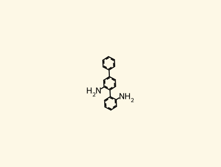 Nc1ccccc1-c1ccc(-c2ccccc2)cc1N